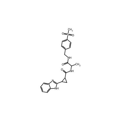 CC(NC(=O)C1CC1c1nc2ccccc2[nH]1)C(=O)NCc1ccc(S(C)(=O)=O)cc1